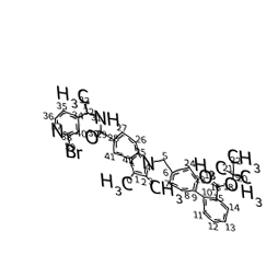 Cc1c(C)n(Cc2ccc(-c3ccccc3C(=O)OC(C)(C)C)cc2)c2ccc(C(=O)N[C@H](C)c3ccnc(Br)c3)cc12